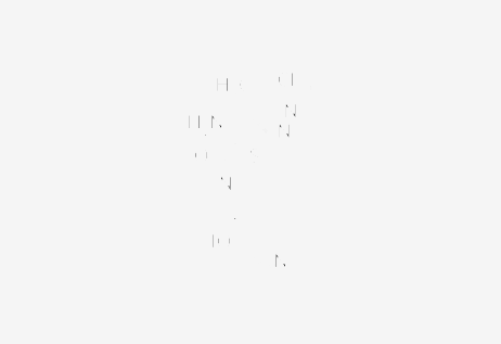 Cc1nnc2sc(C(=O)N3CCC(O)(c4ccncc4)CC3)c(N)c2c1C